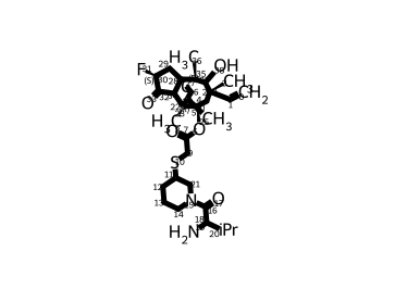 C=C[C@]1(C)C[C@@H](OC(=O)CSC2CCCN(C(=O)C(N)C(C)C)C2)[C@]2(C)C(C)CCC3(C[C@H](F)C(=O)C32)[C@@H](C)C1O